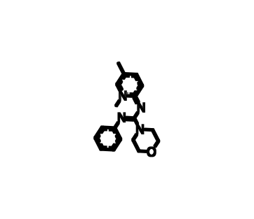 Cc1ccc(=NC(=Nc2ccccc2)N2CCOCC2)n(C)c1